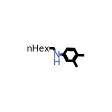 CCCCCCCNc1ccc(C)c(C)c1